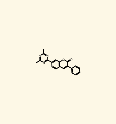 Cc1nc(C)nc(-c2ccc3cc(-c4ccccc4)c(=O)oc3c2)n1